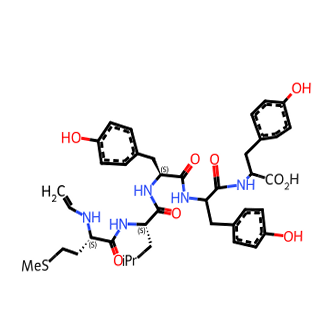 C=CN[C@@H](CCSC)C(=O)N[C@@H](CC(C)C)C(=O)N[C@@H](Cc1ccc(O)cc1)C(=O)NC(Cc1ccc(O)cc1)C(=O)NC(Cc1ccc(O)cc1)C(=O)O